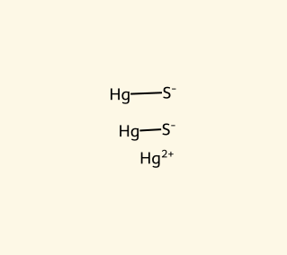 [Hg+2].[S-][Hg].[S-][Hg]